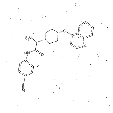 CC(C(=O)Nc1ccc(C#N)cc1)[C@H]1CC[C@@H](Oc2ccnc3ccccc23)CC1